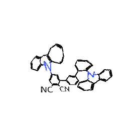 N#Cc1cc(-n2c3c(c4ccccc42)CC=CC=C3)cc(-c2cccc(-c3ccccc3-n3c4ccccc4c4ccccc43)c2)c1C#N